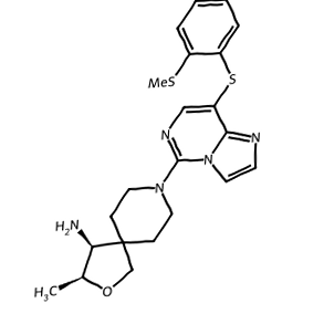 CSc1ccccc1Sc1cnc(N2CCC3(CC2)CO[C@@H](C)[C@H]3N)n2ccnc12